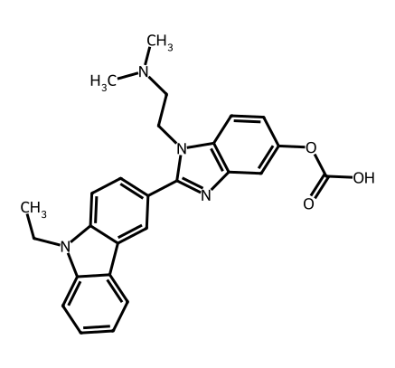 CCn1c2ccccc2c2cc(-c3nc4cc(OC(=O)O)ccc4n3CCN(C)C)ccc21